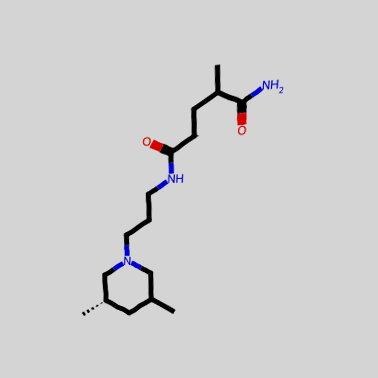 CC1C[C@H](C)CN(CCCNC(=O)[CH]CC(C)C(N)=O)C1